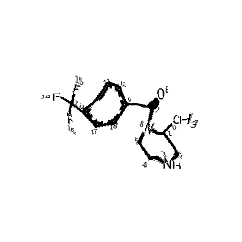 CC1CNCCN1C(=O)c1ccc(C(F)(F)F)cc1